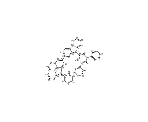 c1ccc(-c2nc(-c3ccccc3)nc(-n3c4ccccc4c4ccc(-c5cc6ccc7cccc8c7c6c(c5)n8-c5ccccn5)cc43)n2)cc1